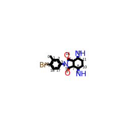 Cc1cc(N2C(=O)C3C(=N)CCC(=N)C3C2=O)ccc1Br